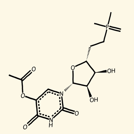 C=P(C)(C)CC[C@H]1O[C@@H](n2cc(OC(C)=O)c(=O)[nH]c2=O)[C@H](O)[C@@H]1O